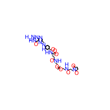 COC(=O)[C@H](CCC(=O)NCCOC(C)(C)OCCNC(=O)CCN1C(=O)C=CC1=O)NC(=O)c1ccc(NCc2cnc3nc(N)[nH]c(=O)c3n2)cc1